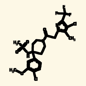 COc1cc(C2(NS(C)(=O)=O)CCN(C(=O)Cn3nc(C(F)(F)F)c(Cl)c3C)CC2)ccc1Cl